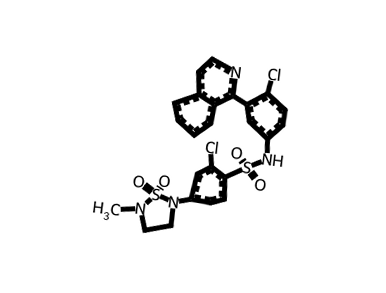 CN1CCN(c2ccc(S(=O)(=O)Nc3ccc(Cl)c(-c4nccc5ccccc45)c3)c(Cl)c2)S1(=O)=O